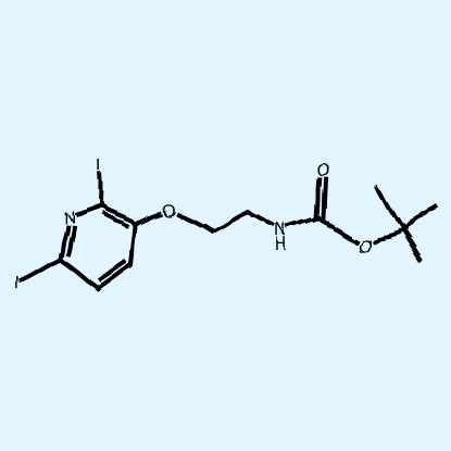 CC(C)(C)OC(=O)NCCOc1ccc(I)nc1I